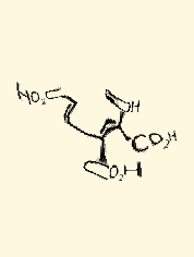 O=C(O)C=CC(C(=O)O)=C(O)C(=O)O